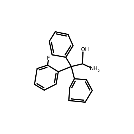 NC(O)C(c1ccccc1)(c1ccccc1)c1ccccc1F